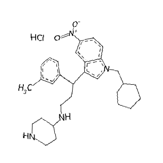 Cc1cccc(C(CCNC2CCNCC2)c2cn(CC3CCCCC3)c3ccc([N+](=O)[O-])cc23)c1.Cl